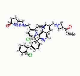 COC(=O)C1CN(Cc2cnc3cc(C4(c5ccc(CNCC6CCC(=O)N6)c(OC)n5)C=CC=C(c5ccccc5Cl)[C@@H]4Cl)ncc3c2)C1